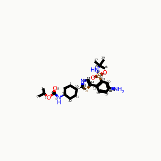 CC(C)OC(=O)N[C@H]1CC[C@H](c2ncc(-c3ccc(N)cc3S(=O)(=O)NC(C)(C)C)s2)CC1